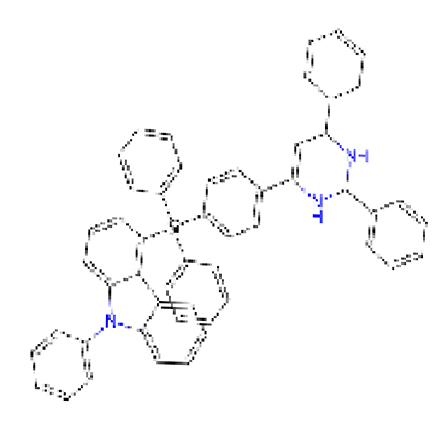 C1=CCC(C2C=C(c3ccc([Si](c4ccccc4)(c4ccccc4)c4cccc5c4c4ccccc4n5-c4ccccc4)cc3)NC(c3ccccc3)N2)C=C1